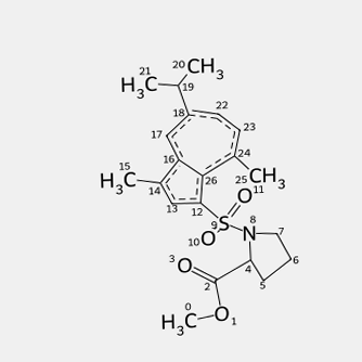 COC(=O)C1CCCN1S(=O)(=O)c1cc(C)c2cc(C(C)C)ccc(C)c1-2